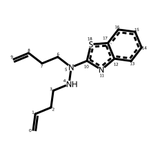 C=CCCNN(CCC=C)c1nc2ccccc2s1